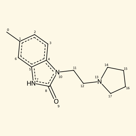 Cc1ccc2c(c1)[nH]c(=O)n2CCN1CCCC1